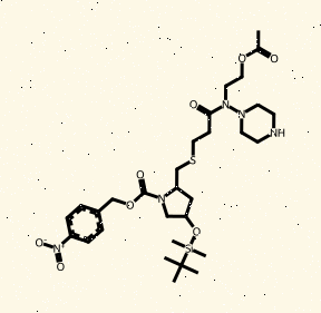 CC(=O)OCCN(C(=O)CCSCC1CC(O[Si](C)(C)C(C)(C)C)CN1C(=O)OCc1ccc([N+](=O)[O-])cc1)N1CCNCC1